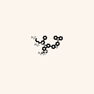 C=Nc1ccc2c(c1/N=C\C)c1cc(-c3ccc4oc5ccc(-n6c7ccccc7c7ccccc76)cc5c4c3)ccc1n2-c1cc(-c2ccccc2)cc(/C(C)=C/C=C\CC)n1